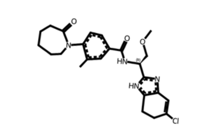 COC[C@H](NC(=O)c1ccc(N2CCCCCC2=O)c(C)c1)c1nc2c([nH]1)CCC(Cl)=C2